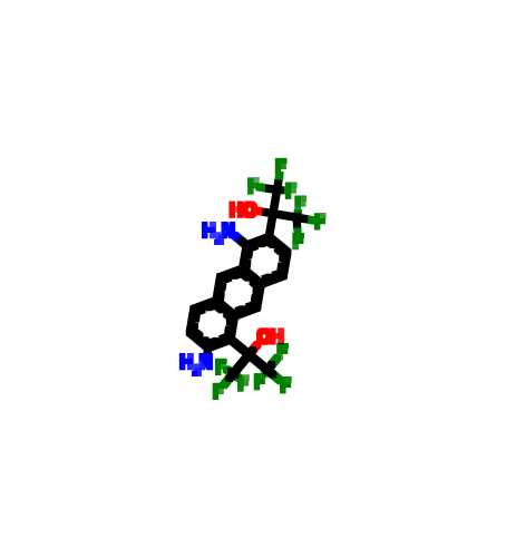 Nc1ccc2cc3c(N)c(C(O)(C(F)(F)F)C(F)(F)F)ccc3cc2c1C(O)(C(F)(F)F)C(F)(F)F